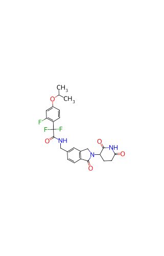 CC(C)Oc1ccc(C(F)(F)C(=O)NCc2ccc3c(c2)CN(C2CCC(=O)NC2=O)C3=O)c(F)c1